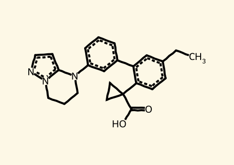 CCc1ccc(C2(C(=O)O)CC2)c(-c2cccc(N3CCCn4nccc43)c2)c1